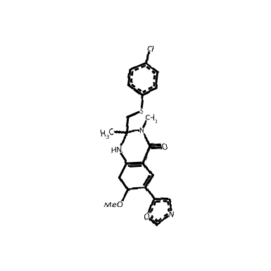 COC1CC2=C(C=C1c1cnco1)C(=O)N(C)C(C)(CSc1ccc(Cl)cc1)N2